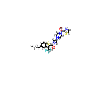 CCc1ccc2sc(C(=O)N3CC(N4CCN(C(=O)c5nccs5)CC4)C3)c(C(F)(F)F)c2c1